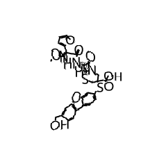 CON=C(C(=O)N[C@@H]1C(=O)N2CC(Sc3ccc4c(c3)oc3cc(CO)ccc34)(C(=O)O)CS[C@H]12)c1ccco1